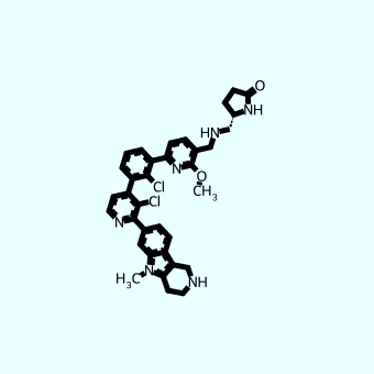 COc1nc(-c2cccc(-c3ccnc(-c4ccc5c6c(n(C)c5c4)CCNC6)c3Cl)c2Cl)ccc1CNC[C@@H]1CCC(=O)N1